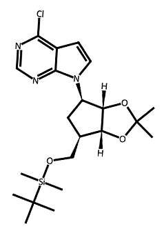 CC1(C)O[C@@H]2[C@@H](CO[Si](C)(C)C(C)(C)C)C[C@@H](n3ccc4c(Cl)ncnc43)[C@@H]2O1